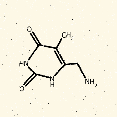 Cc1c(CN)[nH]c(=O)[nH]c1=O